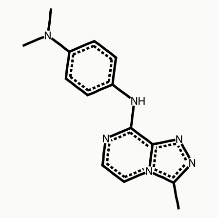 Cc1nnc2c(Nc3ccc(N(C)C)cc3)nccn12